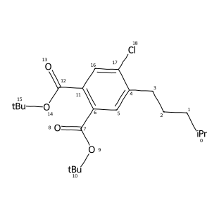 CC(C)CCCc1cc(C(=O)OC(C)(C)C)c(C(=O)OC(C)(C)C)cc1Cl